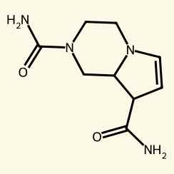 NC(=O)C1C=CN2CCN(C(N)=O)CC12